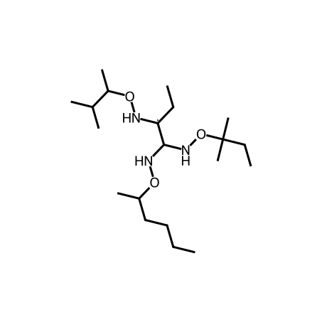 CCCCC(C)ONC(NOC(C)(C)CC)[C](CC)NOC(C)C(C)C